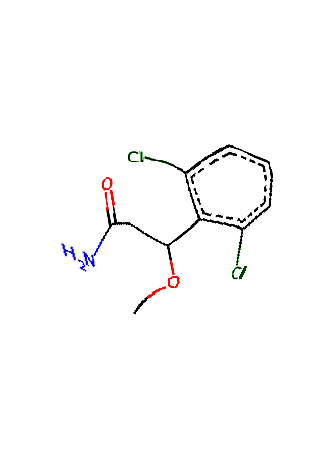 COC(C(N)=O)c1c(Cl)cccc1Cl